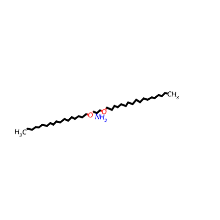 CCCCCCCCCCCCCCCCCCOCC(N)COCCCCCCCCCCCCCCCCCC